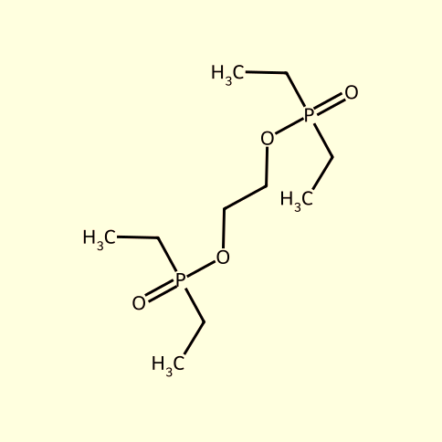 CCP(=O)(CC)OCCOP(=O)(CC)CC